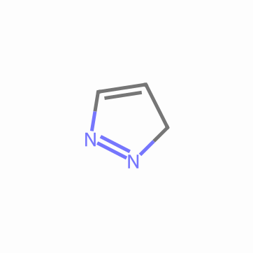 C1=CN=NC1